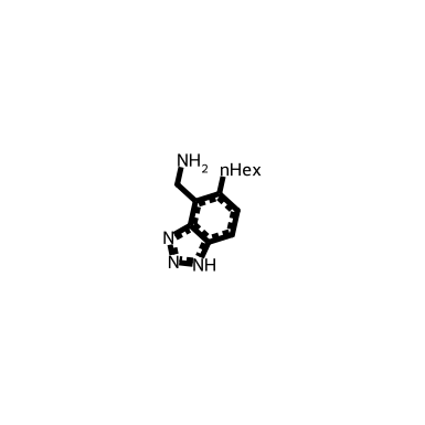 CCCCCCc1ccc2[nH]nnc2c1CN